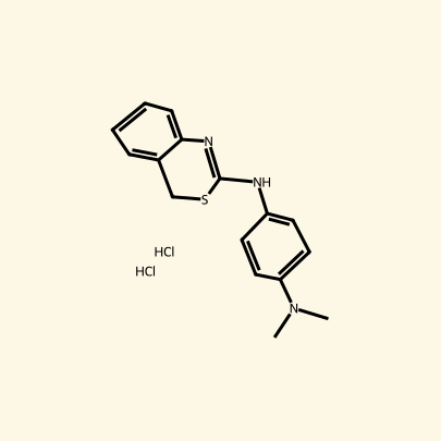 CN(C)c1ccc(NC2=Nc3ccccc3CS2)cc1.Cl.Cl